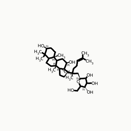 CC(C)=CCC[C@](C)(C[C@@H]1OC(CO)[C@@H](O)C(O)C1O)[C@H]1CC[C@]2(C)C1[C@H](O)CC1[C@@]3(C)CC[C@H](O)C(C)(C)C3CC[C@]12C